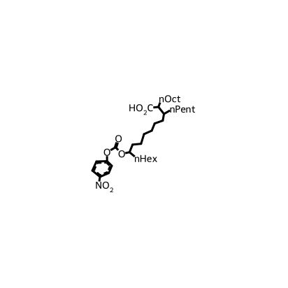 CCCCCCCCC(C(=O)O)C(CCCCC)CCCCCCC(CCCCCC)OC(=O)Oc1ccc([N+](=O)[O-])cc1